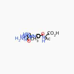 CC(=O)[C@H](CCC(=O)O)NC(=O)c1ccc(NC[C@H]2CNc3[nH]c(N)nc(=O)c3N2C)cc1